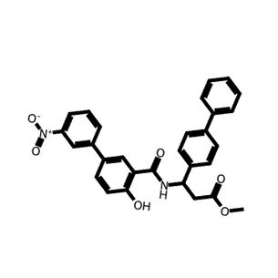 COC(=O)CC(NC(=O)c1cc(-c2cccc([N+](=O)[O-])c2)ccc1O)c1ccc(-c2ccccc2)cc1